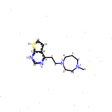 CN1CCCN(CCc2ncnc3sccc23)CC1